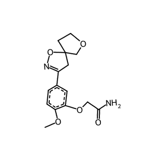 COc1ccc(C2=NOC3(CCOC3)C2)cc1OCC(N)=O